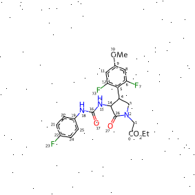 CCOC(=O)CN1CC(c2c(F)cc(OC)cc2F)C(NC(=O)Nc2ccc(F)cc2)C1=O